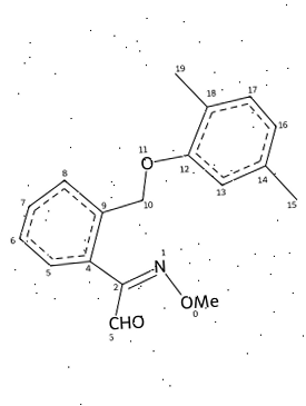 CON=C(C=O)c1ccccc1COc1cc(C)ccc1C